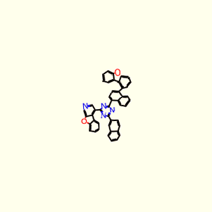 c1ccc2cc(-c3nc(-c4ccc(-c5cccc6oc7ccccc7c56)c5ccccc45)nc(-c4cncc5oc6ccccc6c45)n3)ccc2c1